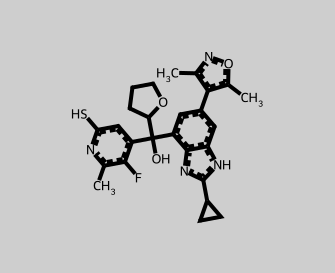 Cc1nc(S)cc(C(O)(c2cc(-c3c(C)noc3C)cc3[nH]c(C4CC4)nc23)C2CCCO2)c1F